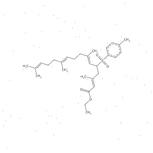 CCOC(=O)/C=C(\C)CC(/C=C(\C)CC/C=C(\C)CCC=C(C)C)S(=O)(=O)c1ccc(C)cc1